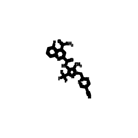 Cc1c(NC(=O)c2cc(C(N)=O)c3c(F)cccc3n2)c(C(F)(F)F)nn1Cc1ncc(C#N)cn1